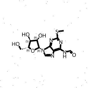 CSc1nc(NC=O)c2ncn([C@@H]3O[C@H](CO)[C@@H](O)[C@H]3O)c2n1